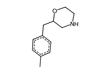 Cc1ccc(CC2CNCCO2)cc1